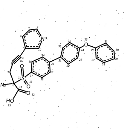 NC(CC#Cc1cccnc1)(C(=O)O)S(=O)(=O)c1ccc(-c2ccc(Oc3ccccc3)cc2)cc1